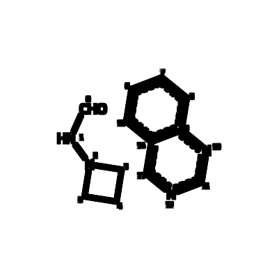 O=CNN1CCC1.c1ccc2ncncc2c1